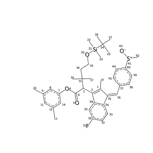 CC1=C(C(C(=O)Oc2cc(C)cc(C)c2)C(C)(C)CCO[Si](C)(C)C(C)(C)C)c2cc(F)ccc2C1=Cc1ccc([S+](C)[O-])cc1